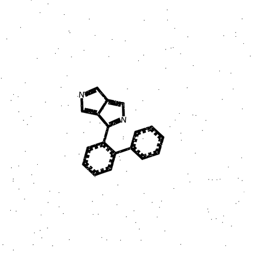 C1=NC=C2C1=CN=C2c1ccccc1-c1ccccc1